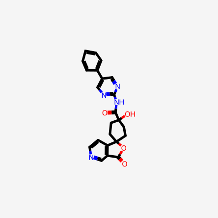 O=C1OC2(CCC(O)(C(=O)Nc3ncc(-c4ccccc4)cn3)CC2)c2ccncc21